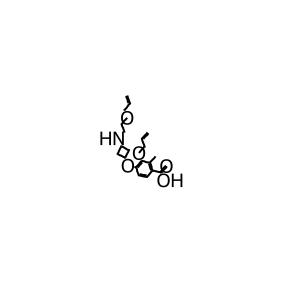 C=CCOCCNC1CC(Oc2ccc(C(=O)O)c(C)c2OCC=C)C1